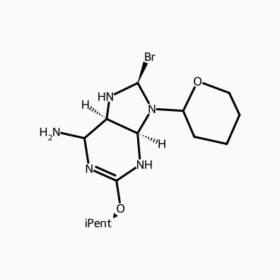 CCC[C@H](C)OC1=NC(N)[C@H]2N[C@@H](Br)N(C3CCCCO3)[C@H]2N1